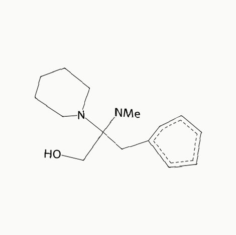 CNC(CO)(Cc1ccccc1)N1CCCCC1